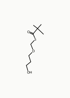 CC(C)(C)C(=O)SCOCCCO